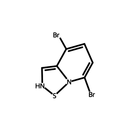 BrC1=CC=C(Br)N2SNC=C12